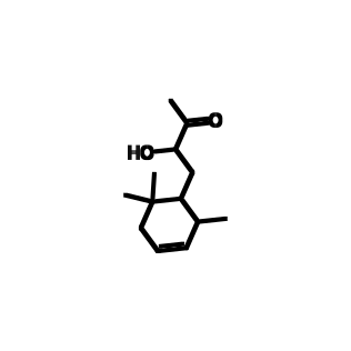 CC(=O)C(O)CC1C(C)C=CCC1(C)C